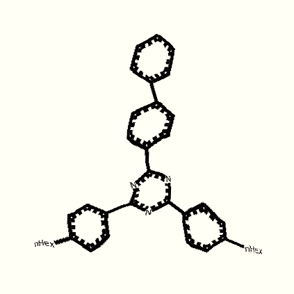 CCCCCCc1ccc(-c2nc(-c3ccc(CCCCCC)cc3)nc(-c3ccc(-c4ccccc4)cc3)n2)cc1